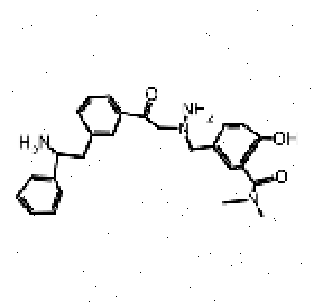 CN(C)C(=O)c1cc(CN(N)CC(=O)c2cccc(C[C](N)c3ccccc3)c2)ccc1O